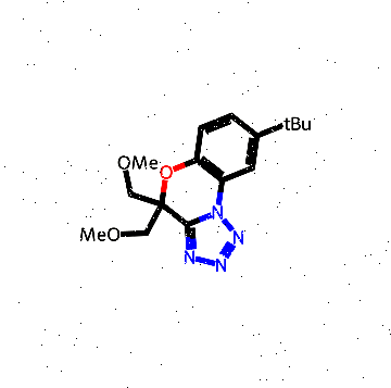 COCC1(COC)Oc2ccc(C(C)(C)C)cc2-n2nnnc21